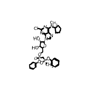 CN(c1nc(Cl)nc2c1ncn2[C@@H]1OC(COP(=O)(CP(C)(=O)Oc2ccccc2)Oc2ccccc2)[C@@H](O)[C@H]1O)C1CCCC1